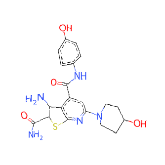 NC(=O)C1Sc2nc(N3CCC(O)CC3)cc(C(=O)Nc3ccc(O)cc3)c2C1N